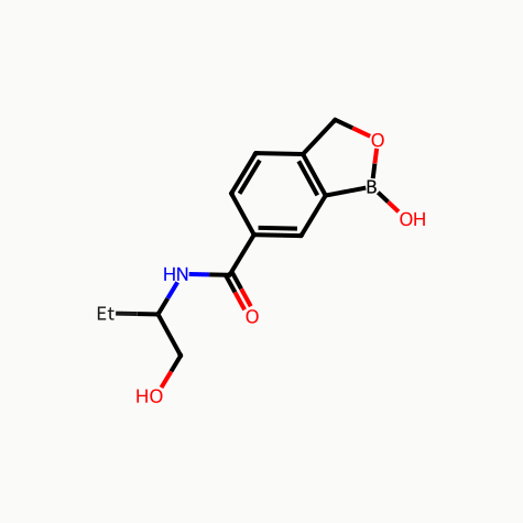 CCC(CO)NC(=O)c1ccc2c(c1)B(O)OC2